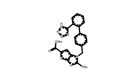 CCCCc1nc2sc(C(=O)OC)cc2n1Cc1ccc(-c2ccccc2-c2nnn[nH]2)cc1